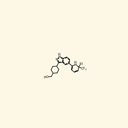 CCC1(C(F)(F)F)C=CC=C(c2ccc3[nH]nc(C4CCC(CO)CC4)c3c2)N1